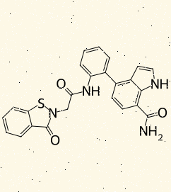 NC(=O)c1ccc(-c2ccccc2NC(=O)Cn2sc3ccccc3c2=O)c2cc[nH]c12